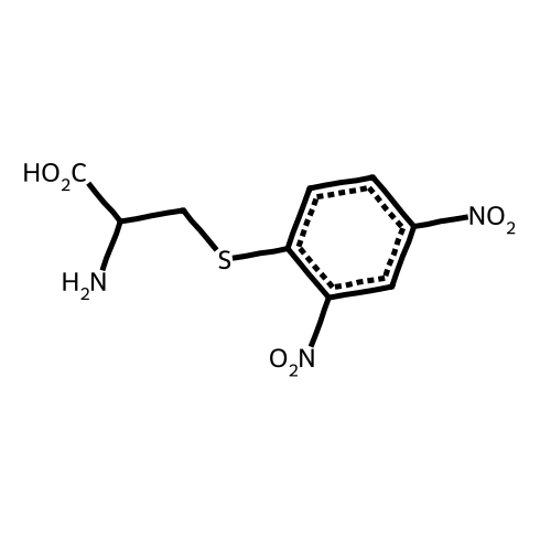 NC(CSc1ccc([N+](=O)[O-])cc1[N+](=O)[O-])C(=O)O